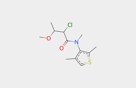 COC(C)C(Cl)C(=O)N(C)c1c(C)csc1C